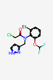 CCc1cccc(OC(F)F)c1N(Cc1cc[nH]n1)C(=O)CCl